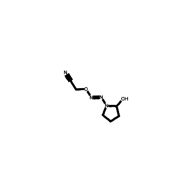 N#CCON=NN1CCCC1O